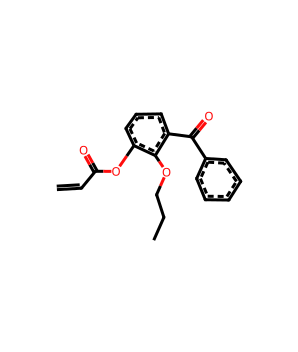 C=CC(=O)Oc1cccc(C(=O)c2ccccc2)c1OCCC